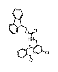 O=Cc1ccccc1Sc1ncc(Cl)cc1CNC(=O)OCC1c2ccccc2-c2ccccc21